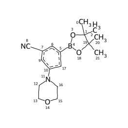 CC1(C)OB(c2cc(C#N)cc(N3CCOCC3)c2)OC1(C)C